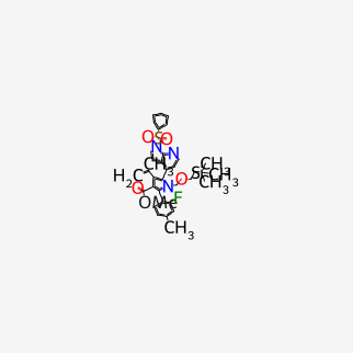 C=C(C)c1c(C(=O)OC)c(-c2ccc(C)cc2F)n(COCC[Si](C)(C)C)c1-c1ccnc2c1ccn2S(=O)(=O)c1ccccc1